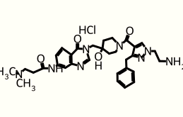 CN(C)CCC(=O)Nc1ccc2c(=O)n(CC3(O)CCN(C(=O)c4cn(CCN)nc4Cc4ccccc4)CC3)cnc2c1.Cl